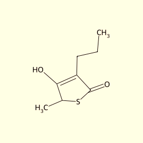 CCCC1=C(O)C(C)SC1=O